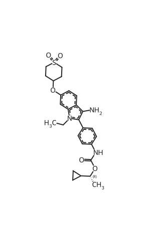 CCn1c(-c2ccc(NC(=O)O[C@H](C)C3CC3)cc2)c(N)c2ccc(OC3CCS(=O)(=O)CC3)cc21